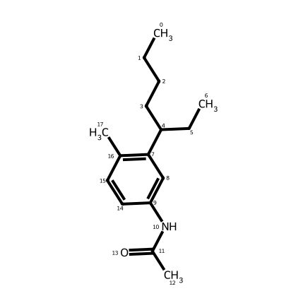 CCCCC(CC)c1cc(NC(C)=O)ccc1C